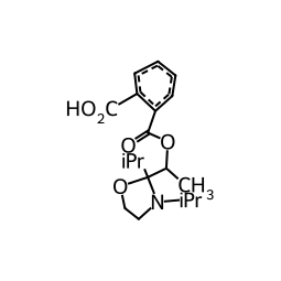 CC(C)N1CCOC1(C(C)C)C(C)OC(=O)c1ccccc1C(=O)O